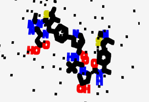 Cc1ncsc1-c1ccc(C(C)NC(=O)[C@@H]2C[C@@H](O)CN2C(=O)C(NC(=O)c2ccnc(-c3ccc(C4=N[C@@H](CC(=O)O)c5nnc(C)n5-c5sc(C)c(C)c54)cc3)c2)C(C)(C)C)cc1